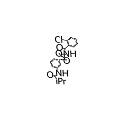 CC(C)C(=O)Nc1cccc(S(=O)(=O)NC(=O)c2ccccc2Cl)c1